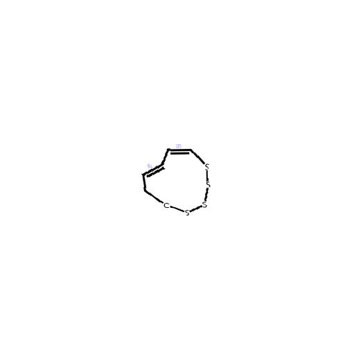 C1=C\SSSSCC/C=C/1